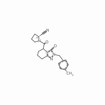 Cc1ccc(Cn2nc3n(c2=O)C(C(=O)N2CCC[C@H]2C#N)CCC3)cc1